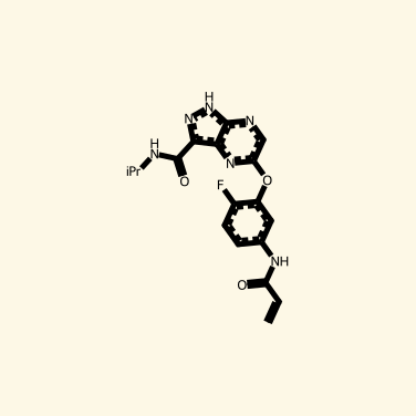 C=CC(=O)Nc1ccc(F)c(Oc2cnc3[nH]nc(C(=O)NC(C)C)c3n2)c1